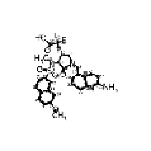 COc1ccc2ccc(S(=O)(=O)N(C)[C@H]3CCN(Cc4cccc5nc(N)ccc45)C3=O)cc2c1.O=C(O)C(F)(F)F